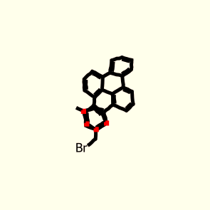 Cc1cc(CBr)cc(-c2cccc3c4ccccc4c4cccc(-c5ccccc5)c4c23)c1